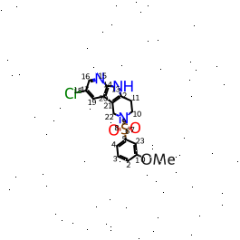 COc1cccc(S(=O)(=O)N2CCc3[nH]c4ncc(Cl)cc4c3C2)c1